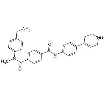 CN(C(=O)c1ccc(C(=O)Nc2ccc(C3=CCNCC3)cc2)cc1)c1ccc(CN)cc1